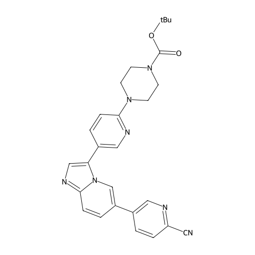 CC(C)(C)OC(=O)N1CCN(c2ccc(-c3cnc4ccc(-c5ccc(C#N)nc5)cn34)cn2)CC1